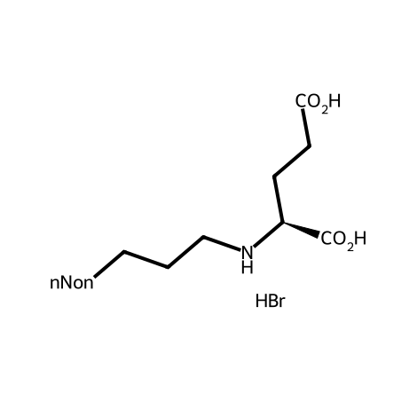 Br.CCCCCCCCCCCCN[C@@H](CCC(=O)O)C(=O)O